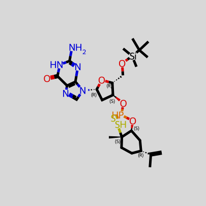 C=C(C)[C@@H]1CC[C@](C)(S)[C@@H](O[PH](=S)O[C@H]2C[C@H](n3cnc4c(=O)[nH]c(N)nc43)O[C@@H]2CO[Si](C)(C)C(C)(C)C)C1